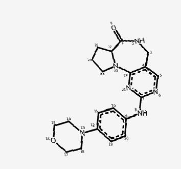 O=C1NCc2cnc(Nc3ccc(N4CCOCC4)cc3)nc2N2CCCC12